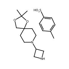 CC1(C)OCC2(CCN(C3CNC3)CC2)O1.Cc1ccc(S(=O)(=O)O)cc1